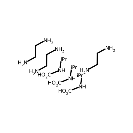 CC(C)NC(=O)O.CC(C)NC(=O)O.CC(C)NC(=O)O.NCCN.NCCN.NCCN